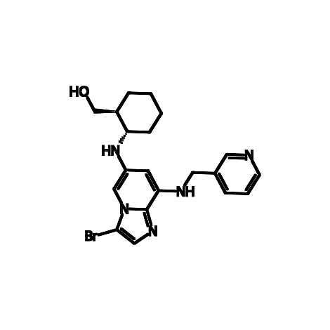 OC[C@H]1CCCC[C@@H]1Nc1cc(NCc2cccnc2)c2ncc(Br)n2c1